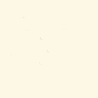 CCOC(=O)c1nc(C2=COC(Cc3ccccc3)O2)nc(N2CCOCC2)c1OCC